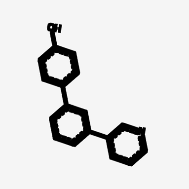 Oc1ccc(-c2cccc(-c3cccnc3)c2)cc1